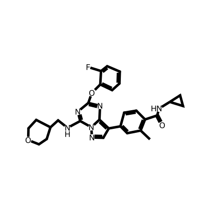 Cc1cc(-c2cnn3c(NCC4CCOCC4)nc(Oc4ccccc4F)nc23)ccc1C(=O)NC1CC1